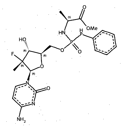 COC(=O)[C@H](C)NP(=O)(OC[C@H]1O[C@@H](n2ccc(N)nc2=O)[C@](C)(F)[C@@H]1O)Pc1ccccc1